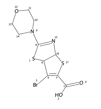 O=C(O)C1=C(Br)C2SC(N3CCOCC3)=NC2S1